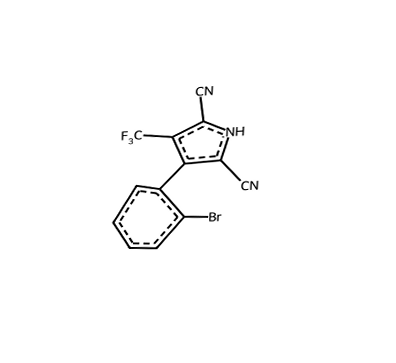 N#Cc1[nH]c(C#N)c(C(F)(F)F)c1-c1ccccc1Br